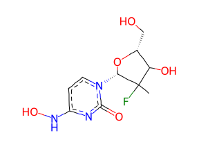 CC1(F)C(O)[C@@H](CO)O[C@H]1n1ccc(NO)nc1=O